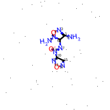 NC1=NON(N)C1N=[N+]([O-])c1cnon1